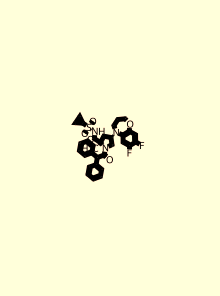 C[C@@]1(C(=O)NS(=O)(=O)C2CC2)C[C@@H](N2CCCOc3cc(F)c(F)cc32)CN1C(=O)C(c1ccccc1)c1ccccc1